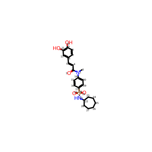 CN(C(=O)/C=C/c1ccc(O)c(O)c1)c1ccc(S(=O)(=O)NC2CCCCCC2)cc1